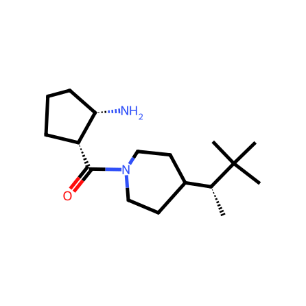 C[C@H](C1CCN(C(=O)[C@@H]2CCC[C@@H]2N)CC1)C(C)(C)C